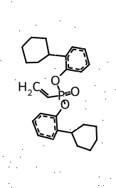 C=CP(=O)(Oc1ccccc1C1CCCCC1)Oc1ccccc1C1CCCCC1